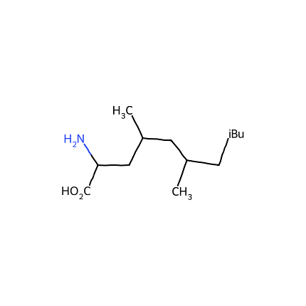 CCC(C)CC(C)CC(C)CC(N)C(=O)O